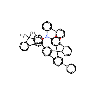 CC1(C)c2ccccc2-c2ccc(N(c3ccc4c(c3)C3(c5cc(-c6ccccc6)ccc5-c5ccc(-c6ccccc6)cc53)C3C=CC=CC43)c3ccccc3-c3ccccc3)cc21